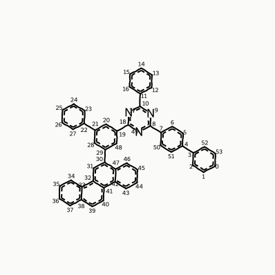 c1ccc(-c2ccc(-c3nc(-c4ccccc4)nc(-c4cc(-c5ccccc5)cc(-c5cc6c7ccccc7ccc6c6ccccc56)c4)n3)cc2)cc1